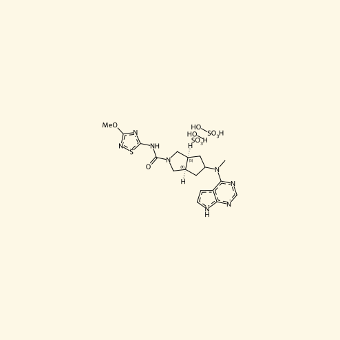 COc1nsc(NC(=O)N2C[C@H]3CC(N(C)c4ncnc5[nH]ccc45)C[C@H]3C2)n1.O=S(=O)(O)O.O=S(=O)(O)O